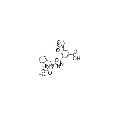 CCN(c1cc(C(=O)O)cc(-c2nnc([C@@](C)(Cc3ccccc3)NC(=O)OC(C)(C)C)o2)c1)S(C)(=O)=O